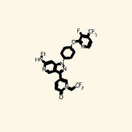 CCNc1cc2c(cn1)c(-c1ccc(=O)n(CC(F)(F)F)c1)nn2[C@H]1CC[C@@H](Oc2nccc(C(F)(F)F)c2F)CC1